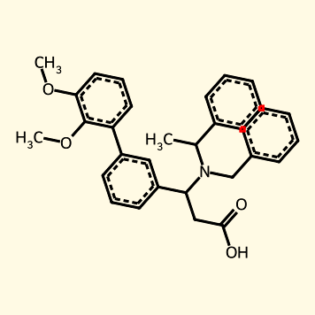 COc1cccc(-c2cccc(C(CC(=O)O)N(Cc3ccccc3)C(C)c3ccccc3)c2)c1OC